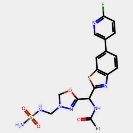 CCC(=O)NC(C1=NN(CNS(N)(=O)=O)CO1)c1nc2ccc(-c3ccc(F)nc3)cc2s1